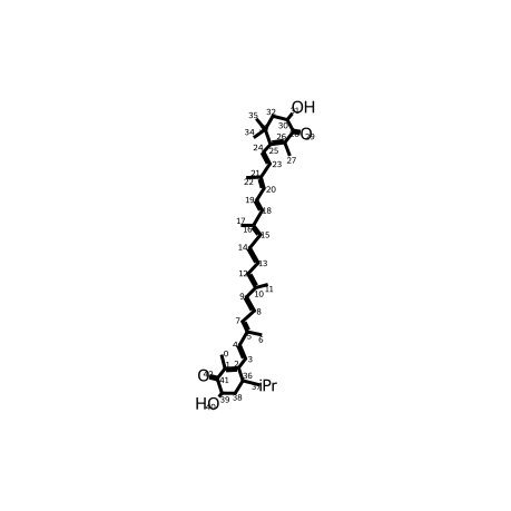 CC1=C(/C=C/C(C)=C/C=C/C(C)=C/C=C/C=C(C)/C=C/C=C(C)/C=C/C2=C(C)C(=O)C(O)CC2(C)C)C(C(C)C)CC(O)C1=O